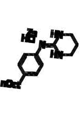 CCCCCCCCc1ccc(N=C2NCCCN2)cc1.Cl.[Zn]